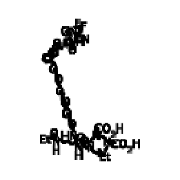 CCC(=O)NCCCCC(NC(=O)CN1CCN(CC)CCN(CC(=O)O)CCN(CC(=O)O)CC1)C(=O)NCCOCCOCCOCCOCCOCCOCc1cccc2c1CN(C(=O)C[C@@H]1C[C@@H](C(=O)N3CC(F)(F)C[C@H]3C#N)NC1=O)C2